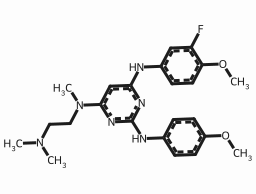 COc1ccc(Nc2nc(Nc3ccc(OC)c(F)c3)cc(N(C)CCN(C)C)n2)cc1